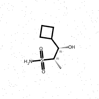 C[C@@H]([C@@H](O)C1CCC1)S(N)(=O)=O